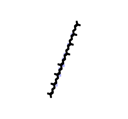 CC(C)=CCC/C(C)=C/CC/C(C)=C/C=C/C(C)=C/C=C/C=C(\C)CC/C=C(\C)CC/C=C(\C)CCC=C(C)C